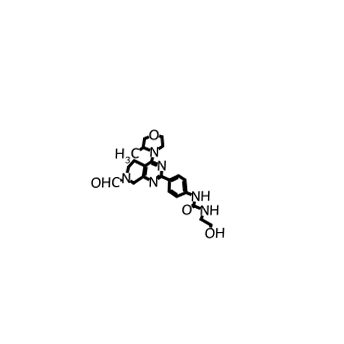 CC1COCCN1c1nc(-c2ccc(NC(=O)NCCO)cc2)nc2c1CCN(C=O)C2